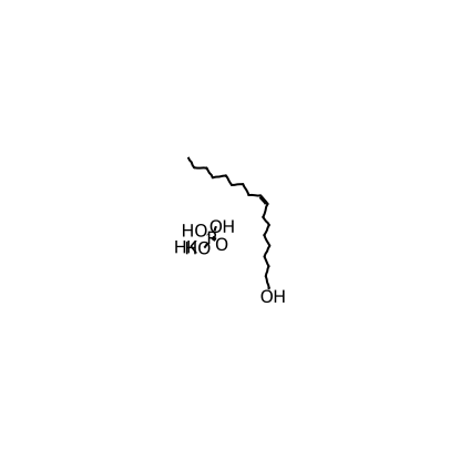 CCCCCCCC/C=C\CCCCCCCCO.O=P(O)(O)O.[KH]